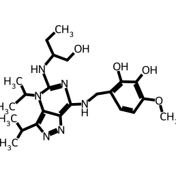 CCC(CO)Nc1nc(NCc2ccc(OC)c(O)c2O)c2nnc(C(C)C)c-2n1C(C)C